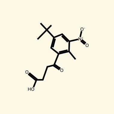 Cc1c(C(=O)CCC(=O)O)cc(C(C)(C)C)cc1[N+](=O)[O-]